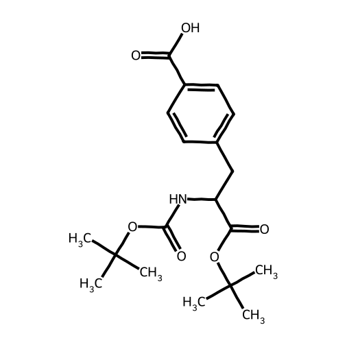 CC(C)(C)OC(=O)NC(Cc1ccc(C(=O)O)cc1)C(=O)OC(C)(C)C